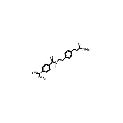 COC(=O)CCc1ccc(CCNC(=O)c2ccc(C(=N)N)cc2)cc1